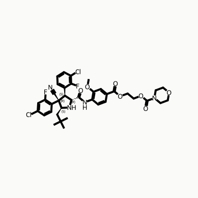 COc1cc(C(=O)OCCOC(=O)N2CCOCC2)ccc1NC(=O)[C@@H]1N[C@@H](CC(C)(C)C)[C@](C#N)(c2ccc(Cl)cc2F)[C@H]1c1cccc(Cl)c1F